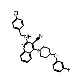 N#Cc1c(NCc2ccc(Cl)cc2)nc2ccccc2c1N1CCC(Oc2cccc(F)c2)CC1